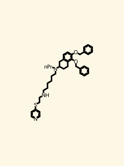 CCCN(CCCCCCNCCSc1ccncc1)C1CCc2c(ccc(OCc3ccccc3)c2OCc2ccccc2)C1